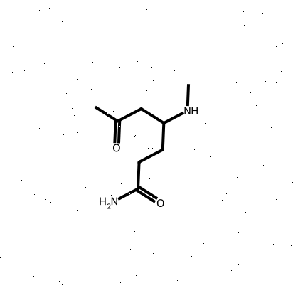 CNC(CCC(N)=O)CC(C)=O